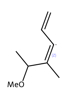 C=C/[C]=C(/C)C(C)OC